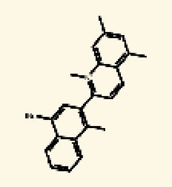 Cc1cc(C)c2ccc(-c3cc(C(C)(C)C)c4ccccc4c3C)[n+](C)c2c1